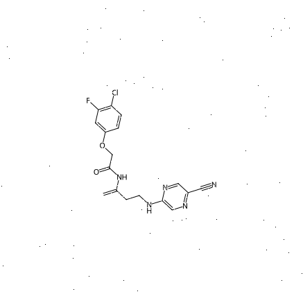 C=C(CCNc1cnc(C#N)cn1)NC(=O)COc1ccc(Cl)c(F)c1